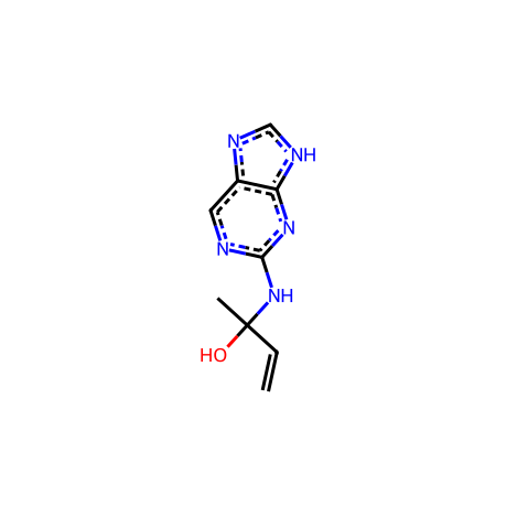 C=CC(C)(O)Nc1ncc2nc[nH]c2n1